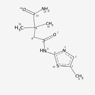 Cc1cnc(NC(=O)[CH]C(C)(C)C(N)=O)s1